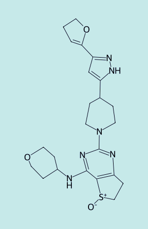 [O-][S+]1CCc2nc(N3CCC(c4cc(C5=CCCO5)n[nH]4)CC3)nc(NC3CCOCC3)c21